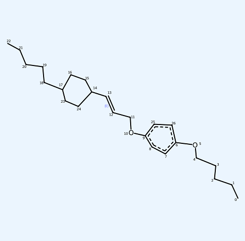 CCCCCOc1ccc(OC/C=C/C2CCC(CCCCC)CC2)cc1